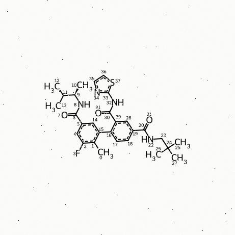 Cc1c(F)cc(C(=O)N[C@H](C)C(C)C)cc1-c1ccc(C(=O)NCC(C)(C)C)cc1C(=O)Nc1nccs1